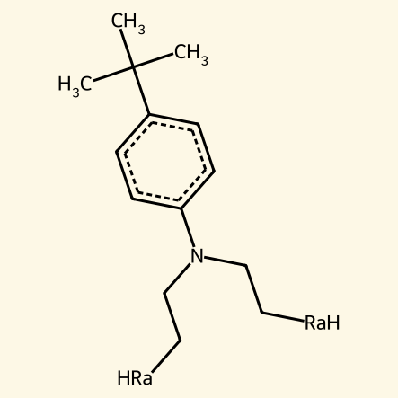 CC(C)(C)c1ccc(N(C[CH2][RaH])C[CH2][RaH])cc1